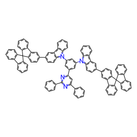 c1ccc(-c2cc(-c3cc(-n4c5ccccc5c5cc(-c6ccc7c(c6)-c6ccccc6C76c7ccccc7-c7ccccc76)ccc54)cc(-n4c5ccccc5c5cc(-c6ccc7c(c6)-c6ccccc6C76c7ccccc7-c7ccccc76)ccc54)c3)nc(-c3ccccc3)n2)cc1